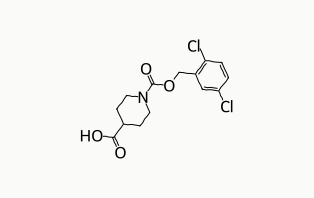 O=C(O)C1CCN(C(=O)OCc2cc(Cl)ccc2Cl)CC1